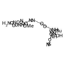 COc1cc2c(Nc3ccc(Oc4cccc(N)c4)cc3)c(C#N)cnc2cc1OCCCN1CCN(CCCCCCOCCOCCCCCC(=O)N[C@H](C(=O)N2C[C@H](O)C[C@H]2C(=O)NCc2ccc(-c3scnc3C)cc2)C(C)(C)C)CC1